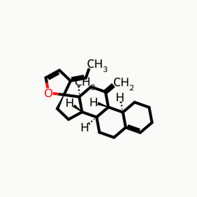 C=C1C[C@@]2(C)[C@@H](CC[C@]23OC=C/C3=C\C)[C@@H]2CCC3=CCCC[C@@H]3[C@@H]12